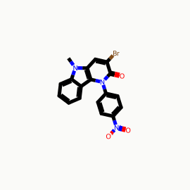 Cn1c2ccccc2c2c1cc(Br)c(=O)n2-c1ccc([N+](=O)[O-])cc1